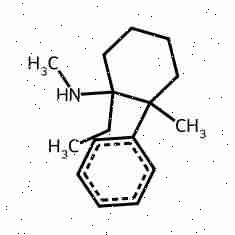 CCC1(NC)CCCCC1(C)c1ccccc1